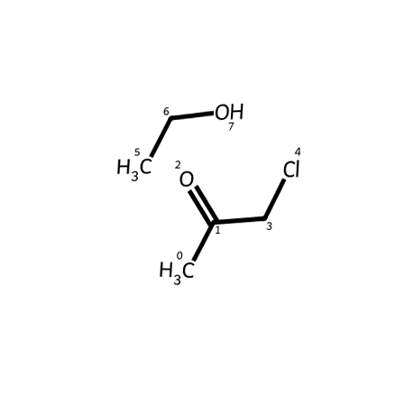 CC(=O)CCl.CCO